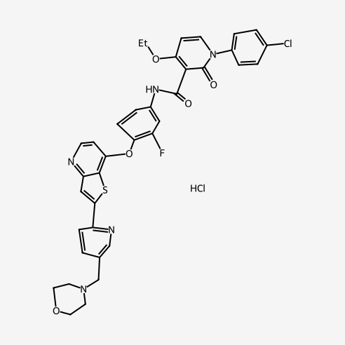 CCOc1ccn(-c2ccc(Cl)cc2)c(=O)c1C(=O)Nc1ccc(Oc2ccnc3cc(-c4ccc(CN5CCOCC5)cn4)sc23)c(F)c1.Cl